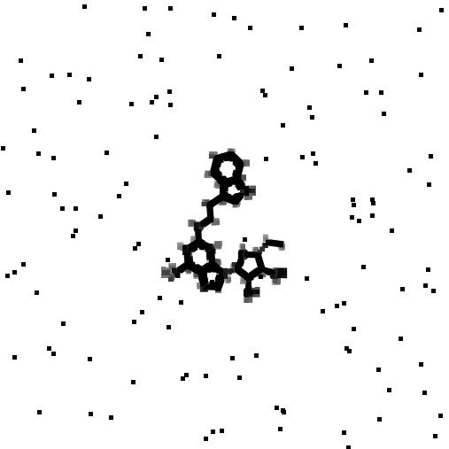 CC[C@H]1O[C@@H](n2cnc3c(N)nc(OCCc4c[nH]c5ccccc45)nc32)[C@H](O)[C@@H]1O